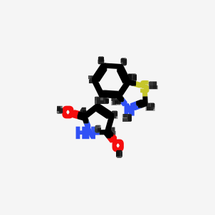 O=C1C=CC(=O)N1.c1ccc2scnc2c1